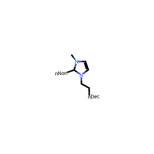 CCCCCCCCCCCCN1C=CN(C)C1CCCCCCCCC